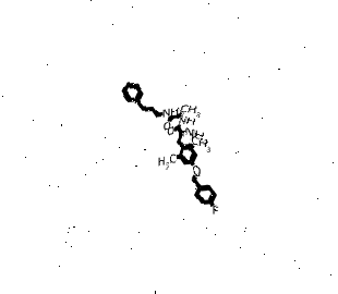 Cc1cc(OCc2ccc(F)cc2)cc(C)c1C[C@H](N)C(=O)N[C@H](C)C(=O)NCCCc1ccccc1